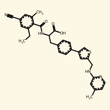 CCc1cc(C#N)cc(C)c1C(=O)NC(Cc1ccc(-c2csc(CNc3cc(C)ccn3)c2)cc1)C(=O)O